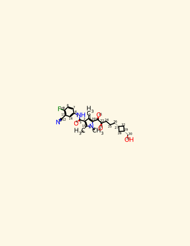 Cc1c(C(=O)Nc2ccc(F)c(C#N)c2)c(C)n(C)c1C(=O)C(=O)CCC[C@H]1C[C@@H](CO)C1